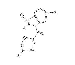 O=C1C(=O)N(C(=O)c2ccc(Br)cc2)c2cc(C(F)(F)F)ccc21